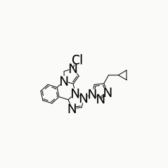 ClN1C=C2N(C1)c1ccccc1C1N=CN(n3cc(CC4CC4)nn3)N21